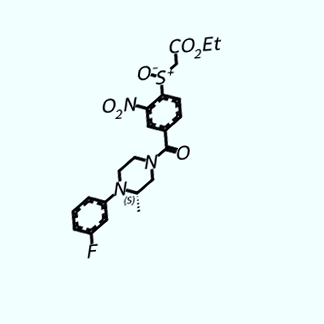 CCOC(=O)C[S+]([O-])c1ccc(C(=O)N2CCN(c3cccc(F)c3)[C@@H](C)C2)cc1[N+](=O)[O-]